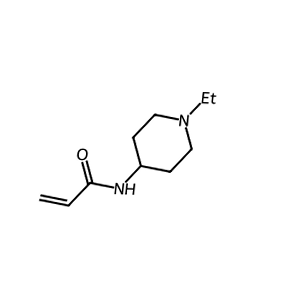 C=CC(=O)NC1CCN(CC)CC1